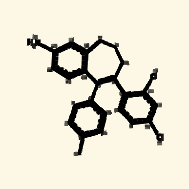 Cc1ccc(C2=C(c3ccc(Cl)cc3Cl)CCCc3cc(N)ccc32)cc1